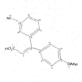 COc1ccc(/C(=C/C(=O)O)c2cccc(C#N)c2)cc1